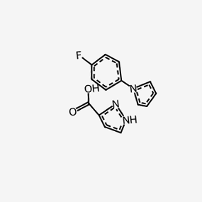 Fc1ccc(-n2cccc2)cc1.O=C(O)c1cc[nH]n1